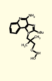 CCCCc1nc2c(N)nc3ccccc3c2n1CC(C)(C)COBO